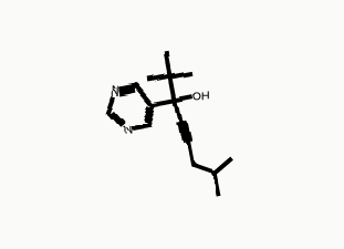 CC(C)CC#CC(O)(c1cncnc1)C(C)(C)C